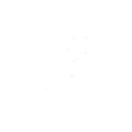 C[Si]1(C)OC[C@H]2O[C@@H](n3cnc4c(N)ncnc43)[C@H](O)[C@@H]2O[Si](C)(C)O1